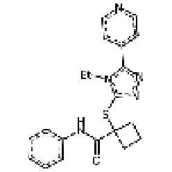 CCn1c(SC2(C(=O)Nc3ccccc3)CCC2)nnc1-c1ccncc1